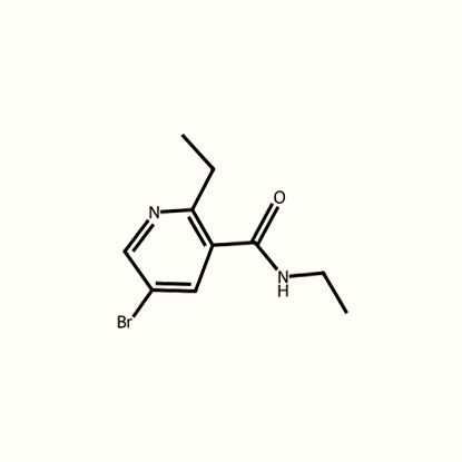 CCNC(=O)c1cc(Br)cnc1CC